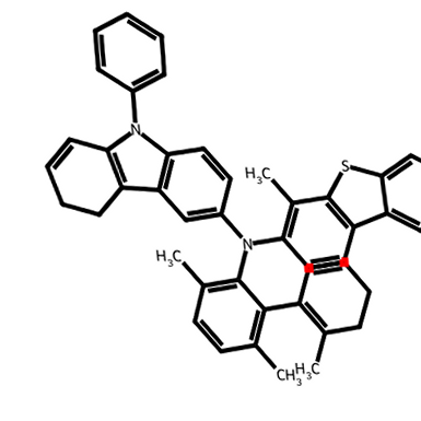 CC1=C(c2c(C)ccc(C)c2N(c2ccc3c(c2)c2c(n3-c3ccccc3)C=CCC2)c2ccc3c4c(sc3c2C)=CCCC=4)C=CCC1